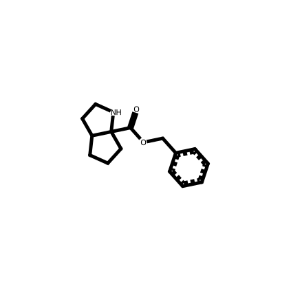 O=C(OCc1ccccc1)C12CCCC1CCN2